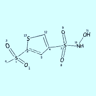 CS(=O)(=O)c1cc(S(=O)(=O)NO)cs1